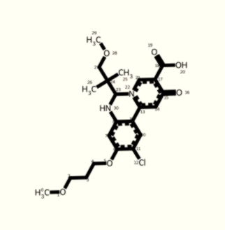 COCCCOc1cc2c(cc1Cl)-c1cc(=O)c(C(=O)O)cn1C(C(C)(C)COC)N2